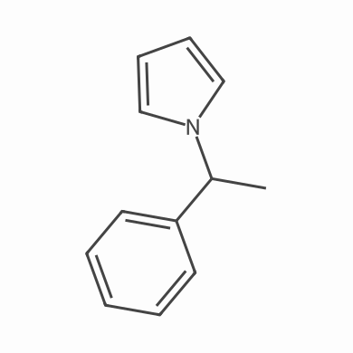 CC(c1ccccc1)n1cccc1